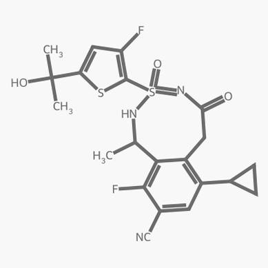 CC1NS(=O)(c2sc(C(C)(C)O)cc2F)=NC(=O)Cc2c(C3CC3)cc(C#N)c(F)c21